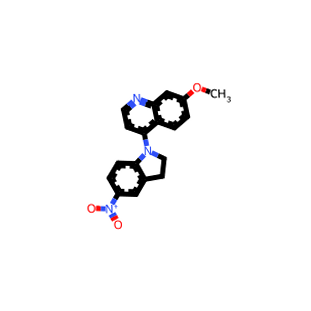 COc1ccc2c(N3CCc4cc([N+](=O)[O-])ccc43)ccnc2c1